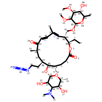 CC[C@H]1OC(=O)CC[C@H](C)[C@@H](O[C@@H]2O[C@H](C)[C@@H](O)C(N(C)C)C2O)[C@@H](CCN=[N+]=[N-])C[C@@H](C)C(=O)/C=C/C(C)=C/[C@@H]1CO[C@@H]1OC(C)[C@@H](O)[C@H](OC)C1OC